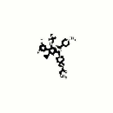 C=CC(=O)N1CC2(CCN(c3nc(C4CCN(C)CC4)nc4c(OCC(F)(F)F)c(-c5cc(F)cc(F)c5)c(C5CC5)cc34)CC2)C1